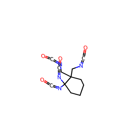 O=C=NCC1(CN=C=O)CCCCC1(N=C=O)N=C=O